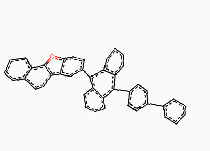 c1ccc(-c2ccc(-c3c4ccccc4c(-c4ccc5oc6c7ccccc7ccc6c5c4)c4ccccc34)cc2)cc1